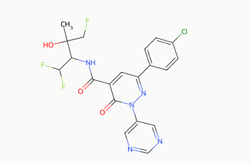 CC(O)(CF)C(NC(=O)c1cc(-c2ccc(Cl)cc2)nn(-c2cncnc2)c1=O)C(F)F